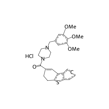 COc1cc(CN2CCN(C(=O)C3=Cc4c(sc5ccccc45)CC3)CC2)cc(OC)c1OC.Cl